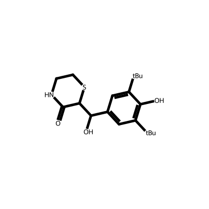 CC(C)(C)c1cc(C(O)C2SCCNC2=O)cc(C(C)(C)C)c1O